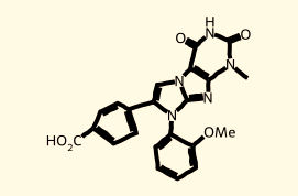 COc1ccccc1-n1c(-c2ccc(C(=O)O)cc2)cn2c3c(=O)[nH]c(=O)n(C)c3nc12